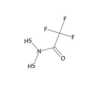 O=C(N(S)S)C(F)(F)F